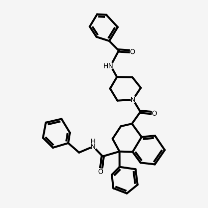 O=C(NC1CCN(C(=O)C2CCC(C(=O)NCc3ccccc3)(c3ccccc3)c3ccccc32)CC1)c1ccccc1